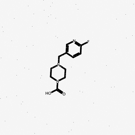 O=C(O)N1CCN(Cc2ccc(F)nc2)CC1